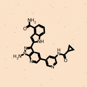 NC(=O)c1cccc2[nH]c(-c3nn(N)c4ncc(-c5cncc(NC(=O)C6CC6)c5)cc34)cc12